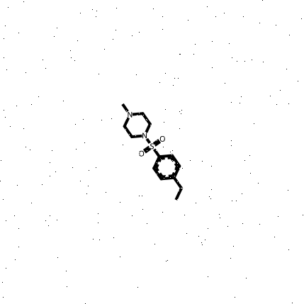 CCc1ccc(S(=O)(=O)N2CCN(C)CC2)cc1